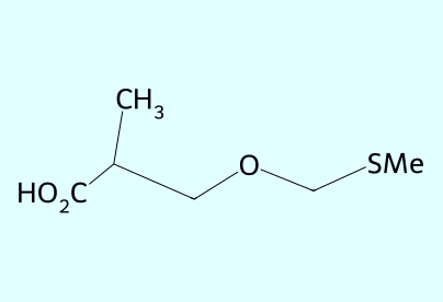 CSCOCC(C)C(=O)O